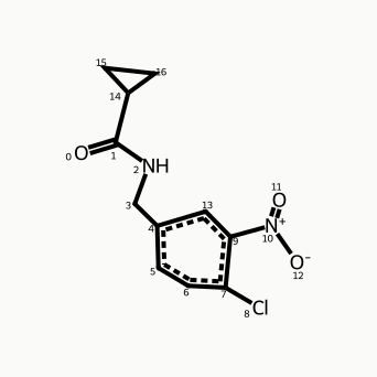 O=C(NCc1ccc(Cl)c([N+](=O)[O-])c1)C1CC1